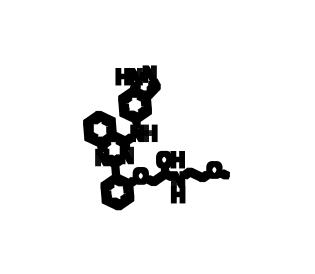 COCCNC(O)COc1ccccc1-c1nc(Nc2ccc3[nH]ncc3c2)c2ccccc2n1